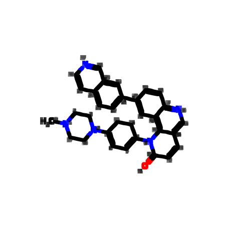 CN1CCN(C2=CC=C(n3c(=O)ccc4cnc5ccc(-c6ccc7ccncc7c6)cc5c43)CC2)CC1